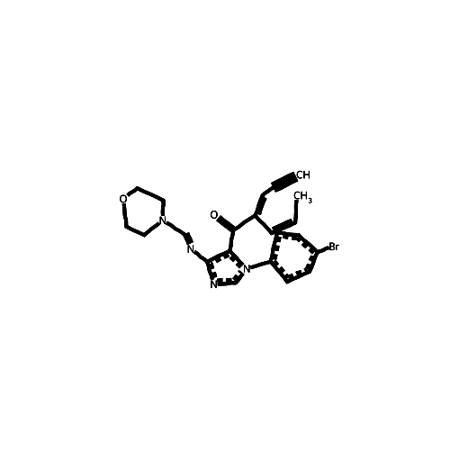 C#C/C=C(\C=C/C)C(=O)c1c(/N=C/N2CCOCC2)ncn1-c1ccc(Br)cc1